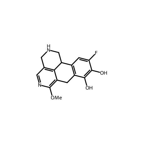 COc1ncc2c3c1Cc1c(cc(F)c(O)c1O)C3CNC2